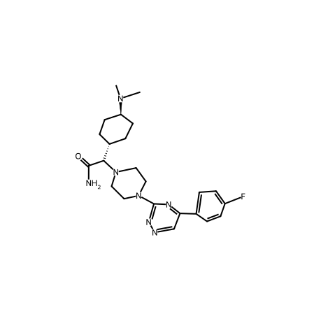 CN(C)[C@H]1CC[C@H](C(C(N)=O)N2CCN(c3nncc(-c4ccc(F)cc4)n3)CC2)CC1